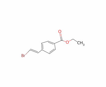 CCOC(=O)c1ccc(C=CBr)cc1